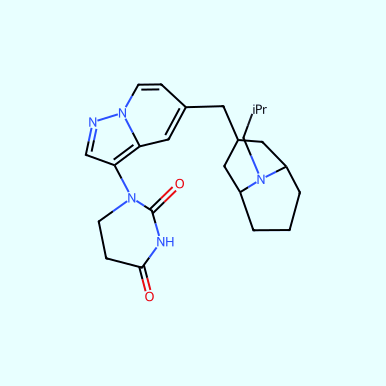 CC(C)CN1C2CCCC1CC(Cc1ccn3ncc(N4CCC(=O)NC4=O)c3c1)C2